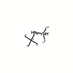 CC(C)(C)N[SiH](I)I